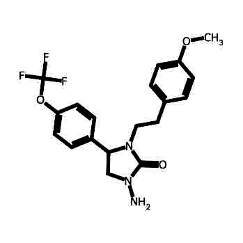 COc1ccc(CCN2C(=O)N(N)CC2c2ccc(OC(F)(F)F)cc2)cc1